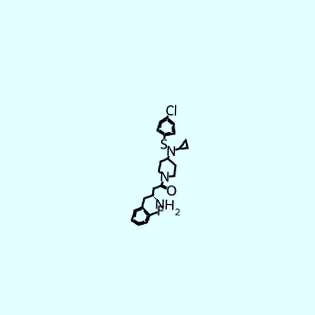 N[C@@H](CC(=O)N1CCC(N(Sc2ccc(Cl)cc2)C2CC2)CC1)Cc1ccccc1F